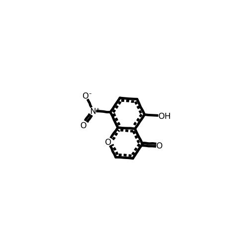 O=c1ccoc2c([N+](=O)[O-])ccc(O)c12